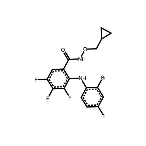 O=C(NOCC1CC1)c1cc(F)c(F)c(F)c1Nc1ccc(I)cc1Br